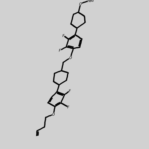 C=CCCOc1ccc(C2CCC(COc3ccc(C4CCC(OCCCC)CC4)c(F)c3F)CC2)c(F)c1F